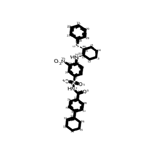 O=C(NS(=O)(=O)c1ccc(N[C@H]2CCCC[C@H]2Sc2ccccc2)c([N+](=O)[O-])c1)c1ccc(C2=CCCCC2)cc1